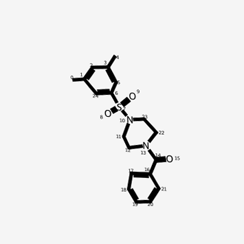 Cc1cc(C)cc(S(=O)(=O)N2CCN(C(=O)c3ccccc3)CC2)c1